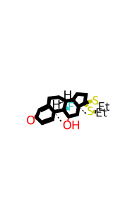 CCSC1(SCC)CC[C@H]2[C@@H]3CCC4=CC(=O)C=C[C@]4(C)C3(F)[C@@H](O)C[C@@]21C